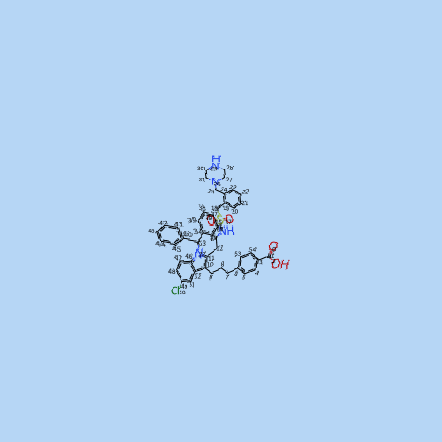 O=C(O)c1ccc(CCCc2c(CCNS(=O)(=O)Cc3ccccc3CN3CCNCC3)n(C(c3ccccc3)c3ccccc3)c3ccc(Cl)cc23)cc1